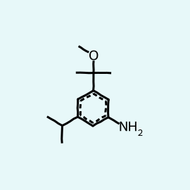 COC(C)(C)c1cc(N)cc(C(C)C)c1